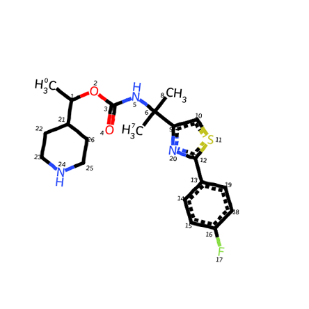 CC(OC(=O)NC(C)(C)c1csc(-c2ccc(F)cc2)n1)C1CCNCC1